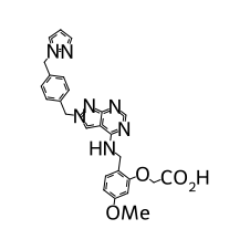 COc1ccc(CNc2ncnc3nn(Cc4ccc(Cn5cccn5)cc4)cc23)c(OCC(=O)O)c1